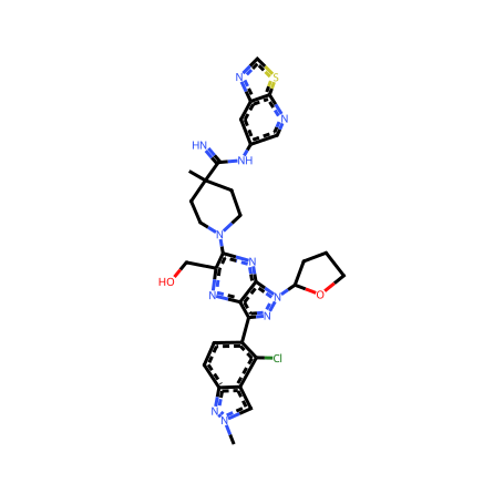 Cn1cc2c(Cl)c(-c3nn(C4CCCO4)c4nc(N5CCC(C)(C(=N)Nc6cnc7scnc7c6)CC5)c(CO)nc34)ccc2n1